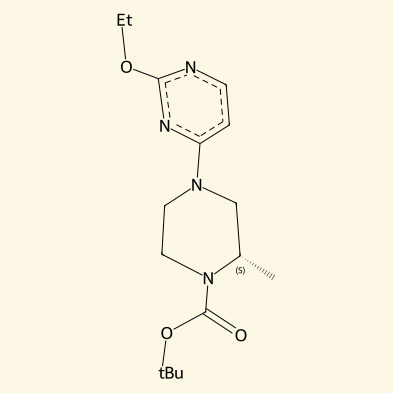 CCOc1nccc(N2CCN(C(=O)OC(C)(C)C)[C@@H](C)C2)n1